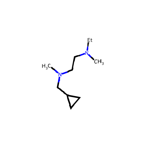 CCN(C)CCN(C)CC1CC1